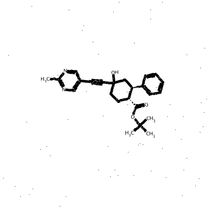 Cc1ncc(C#CC2(O)CC[C@@H](C(=O)OC(C)(C)C)[C@H](c3ccccc3)C2)cn1